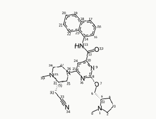 CN1CCC[C@H]1COc1nc(C(=O)Nc2cccc3ccccc23)cc(N2CCN(C)[C@@H](CC#N)C2)n1